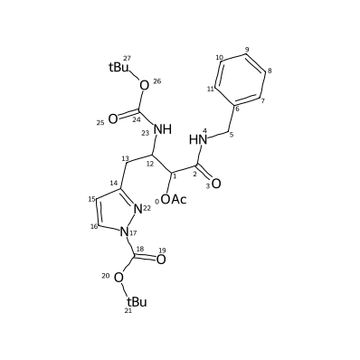 CC(=O)OC(C(=O)NCc1ccccc1)C(Cc1ccn(C(=O)OC(C)(C)C)n1)NC(=O)OC(C)(C)C